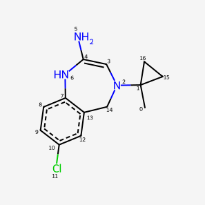 CC1(N2C=C(N)Nc3ccc(Cl)cc3C2)CC1